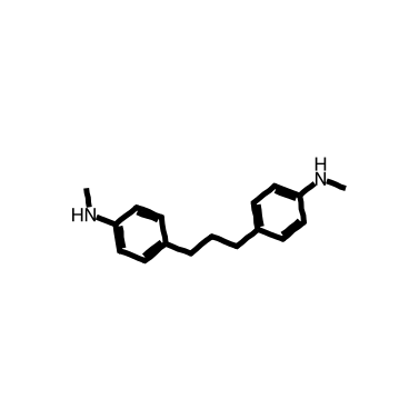 CNc1ccc(CCCc2ccc(NC)cc2)cc1